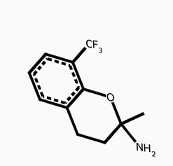 CC1(N)CCc2cccc(C(F)(F)F)c2O1